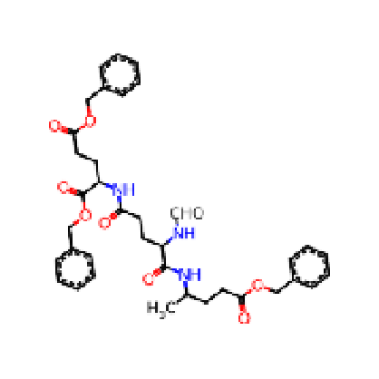 CC(CCC(=O)OCc1ccccc1)NC(=O)C(CCC(=O)NC(CCC(=O)OCc1ccccc1)C(=O)OCc1ccccc1)NC=O